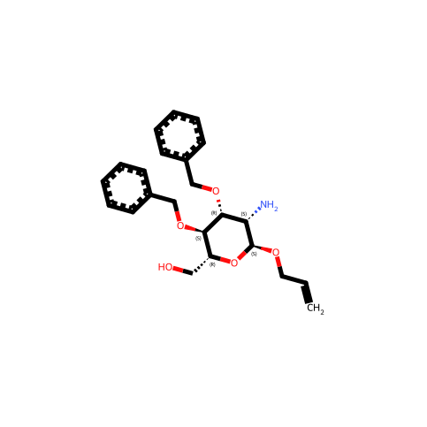 C=CCO[C@H]1O[C@H](CO)[C@@H](OCc2ccccc2)[C@H](OCc2ccccc2)[C@@H]1N